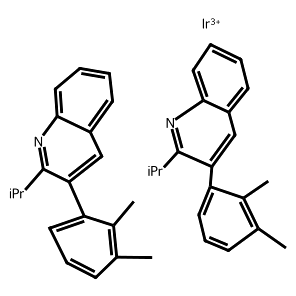 Cc1cccc(-c2cc3ccccc3nc2C(C)C)c1C.Cc1cccc(-c2cc3ccccc3nc2C(C)C)c1C.[Ir+3]